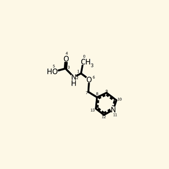 CC(NC(=O)O)OCc1ccncc1